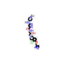 CC(=O)N1CCC(Nc2cc(C(=O)NC[C@H](O)CN3CCc4c(ccc(OCc5ccnn5C)c4Cl)C3)ncn2)CC1